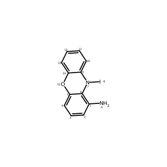 Nc1cccc2c1N(I)c1ccccc1O2